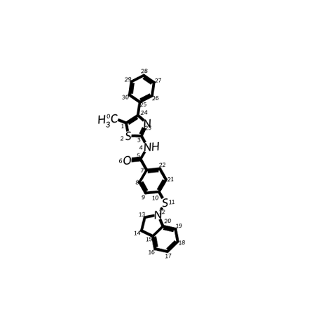 Cc1sc(NC(=O)c2ccc(SN3CCc4ccccc43)cc2)nc1-c1ccccc1